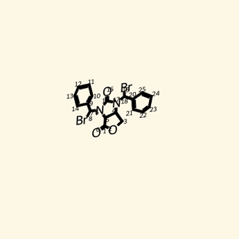 O=C1OCC2C1N(C(Br)c1ccccc1)C(=O)N2C(Br)c1ccccc1